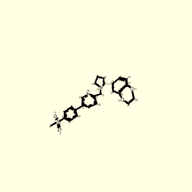 CS(=O)(=O)c1ccc(-c2ccc(CN3CCC[C@@H]3C3C=CC4=C(C3)OCCO4)nc2)cc1